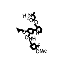 COc1ccc(CNC(=O)c2cc(-c3ncccc3COC(=O)CC(C)N)ccc2OCC2CC2)cc1F